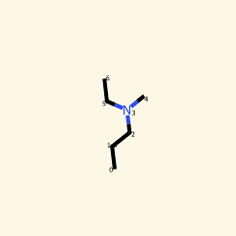 C[CH]CN(C)CC